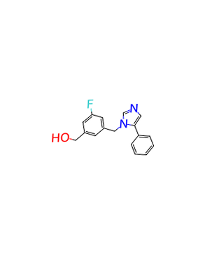 OCc1cc(F)cc(Cn2cncc2-c2ccccc2)c1